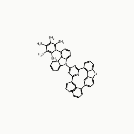 Bc1c(B)c(B)c(-c2cccc3c2c2ccccc2n3-c2nc(-c3ccccc3)nc(-c3cccc4oc5ccc(-c6ccccc6)cc5c34)n2)c(B)c1B